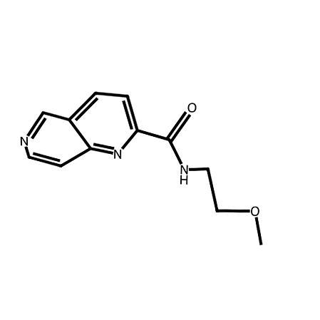 COCCNC(=O)c1ccc2cnccc2n1